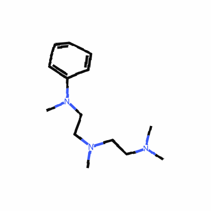 CN(C)CCN(C)CCN(C)c1ccccc1